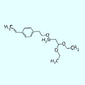 C=Cc1ccc(CCO[SiH2]CC(OCC)OCC)cc1